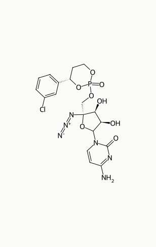 [N-]=[N+]=N[C@]1(COP2(=O)OCC[C@@H](c3cccc(Cl)c3)O2)OC(n2ccc(N)nc2=O)[C@H](O)[C@@H]1O